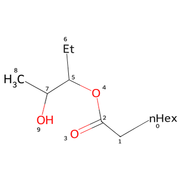 CCCCCCCC(=O)OC(CC)C(C)O